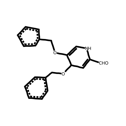 O=CC1=CC(OCc2ccccc2)C(OCc2ccccc2)=CN1